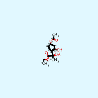 CCOC(=O)C(C)(O)c1ccc(OC(C)=O)cc1O